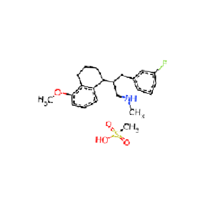 CNCC(Cc1cccc(F)c1)C1CCCc2c(OC)cccc21.CS(=O)(=O)O